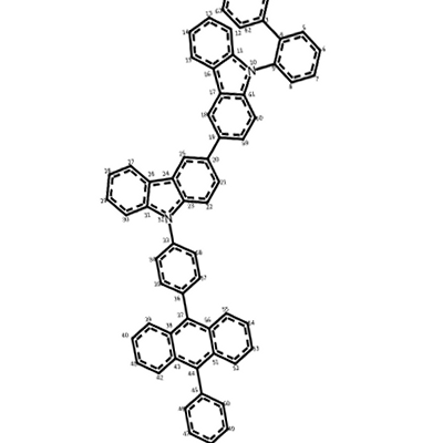 c1ccc(-c2ccccc2-n2c3ccccc3c3cc(-c4ccc5c(c4)c4ccccc4n5-c4ccc(-c5c6ccccc6c(-c6ccccc6)c6ccccc56)cc4)ccc32)cc1